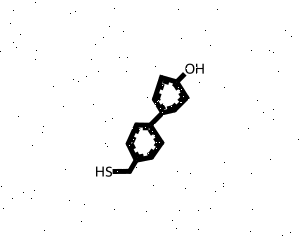 Oc1ccc(-c2ccc(CS)cc2)cc1